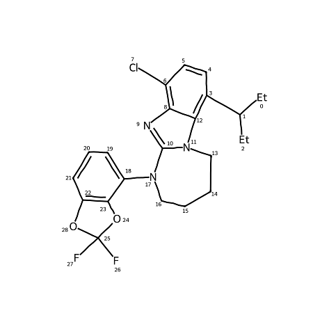 CCC(CC)c1ccc(Cl)c2nc3n(c12)CCCCN3c1cccc2c1OC(F)(F)O2